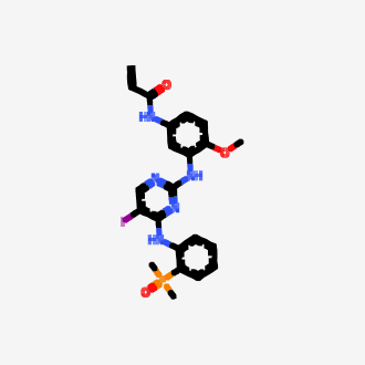 C=CC(=O)Nc1ccc(OC)c(Nc2ncc(I)c(Nc3ccccc3P(C)(C)=O)n2)c1